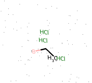 Cl.Cl.Cl.[B]CC